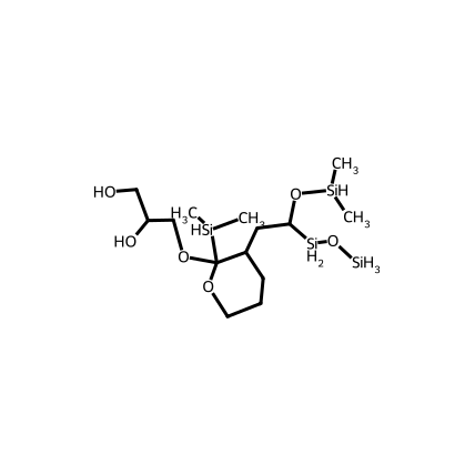 C[SiH](C)OC(CC1CCCOC1(OCC(O)CO)[SiH](C)C)[SiH2]O[SiH3]